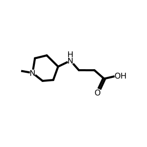 CN1CCC(NCCC(=O)O)CC1